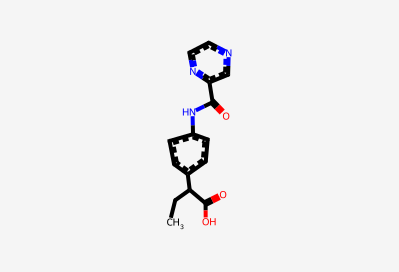 CCC(C(=O)O)c1ccc(NC(=O)c2cnccn2)cc1